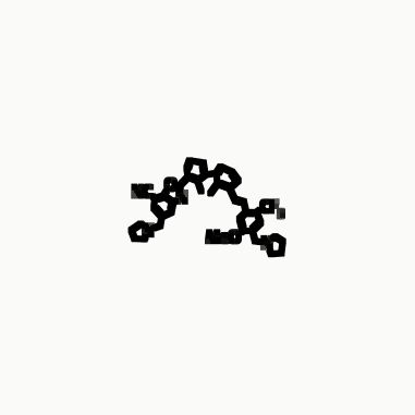 COc1cc(/C=C/c2cccc(-c3cccc(-c4nc5cc(CN6CCCC6)cc(C#N)c5o4)c3C)c2C)c(C(F)(F)F)cc1CN1CCCC1